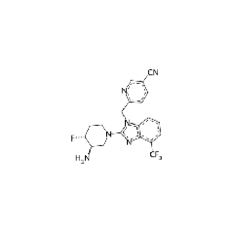 N#Cc1ccc(Cn2c(N3CC[C@@H](F)[C@H](N)C3)nc3c(C(F)(F)F)cccc32)nc1